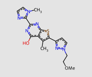 COCCn1ccc(-c2sc3nc(-c4nccn4C)nc(O)c3c2C)n1